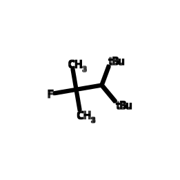 CC(C)(C)C(C(C)(C)C)C(C)(C)F